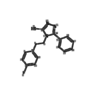 Fc1ccc(CCn2c(S)nnc2-c2ccccc2)cc1